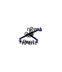 CCCCC/C=C\C/C=C\CCCCCCCC(=O)OCC(COC(=O)CCCCCCC/C=C\C/C=C\CCCCC)OC(=O)CCCCCCC/C=C\C/C=C\CCCCC